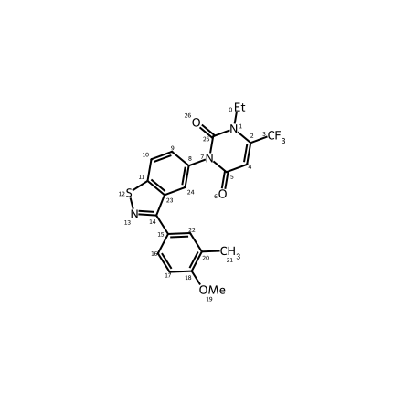 CCn1c(C(F)(F)F)cc(=O)n(-c2ccc3snc(-c4ccc(OC)c(C)c4)c3c2)c1=O